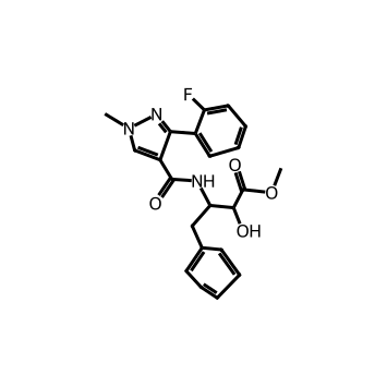 COC(=O)C(O)C(Cc1ccccc1)NC(=O)c1cn(C)nc1-c1ccccc1F